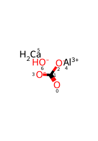 O=C([O-])[O-].[Al+3].[CaH2].[OH-]